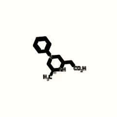 C[C@H]1CN(c2ccccc2)CC(CC(=O)O)N1